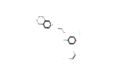 O=C1CCCc2cc(OCCCOc3c(Cl)cc(OCC=C(Cl)Cl)cc3Cl)ccc21